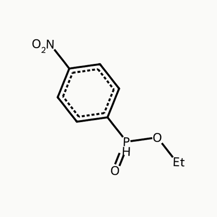 CCO[PH](=O)c1ccc([N+](=O)[O-])cc1